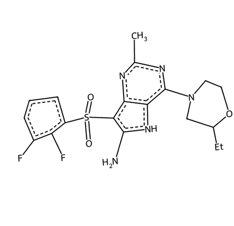 CCC1CN(c2nc(C)nc3c(S(=O)(=O)c4cccc(F)c4F)c(N)[nH]c23)CCO1